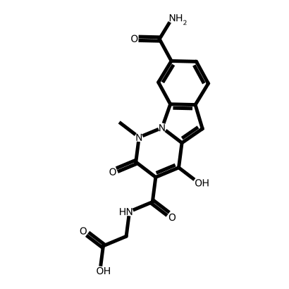 Cn1c(=O)c(C(=O)NCC(=O)O)c(O)c2cc3ccc(C(N)=O)cc3n21